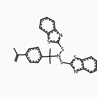 C=C(C)c1ccc(C(C)(C)N(Sc2nc3ccccc3s2)Sc2nc3ccccc3s2)cc1